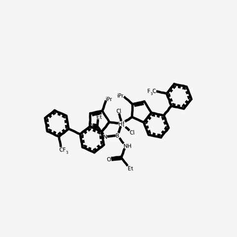 CCC(=O)N[B](NC(=O)CC)[Hf]([Cl])([Cl])([CH]1C(C(C)C)=Cc2c(-c3ccccc3C(F)(F)F)cccc21)[CH]1C(C(C)C)=Cc2c(-c3ccccc3C(F)(F)F)cccc21